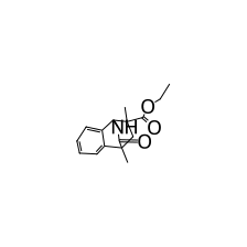 CCOC(=O)C1(C)CC2(C)C(=O)NC1c1ccccc12